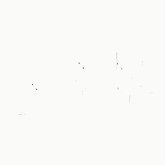 O=C(c1ccnc2c(Br)cccc12)N1CCCC1CNS(=O)(=O)C(F)(F)F